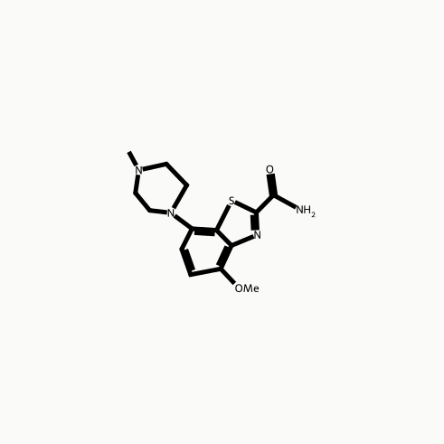 COc1ccc(N2CCN(C)CC2)c2sc(C(N)=O)nc12